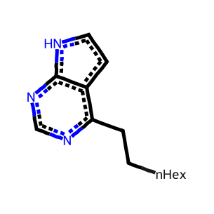 CCCCCCCCc1ncnc2[nH]ccc12